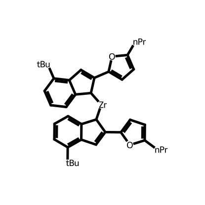 CCCc1ccc(C2=Cc3c(cccc3C(C)(C)C)[CH]2[Zr][CH]2C(c3ccc(CCC)o3)=Cc3c2cccc3C(C)(C)C)o1